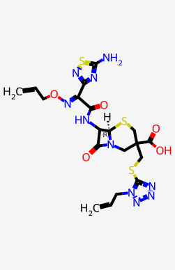 C=CCON=C(C(=O)NC1C(=O)N2CC(CSc3nnnn3CC=C)(C(=O)O)CS[C@H]12)c1nsc(N)n1